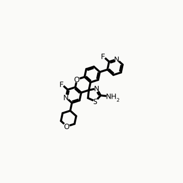 NC1=NC2(CS1)c1cc(-c3cccnc3F)ccc1Oc1c2cc(C2CCOCC2)nc1F